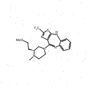 COCC[C@H]1CN(C2=Nc3ccccc3Nc3sc(C(F)(F)F)nc32)CCN1C